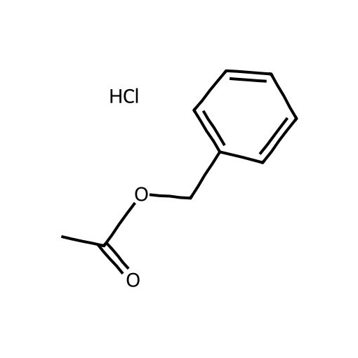 CC(=O)OCc1ccccc1.Cl